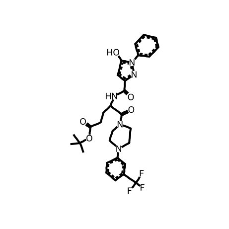 CC(C)(C)OC(=O)CCC(NC(=O)c1cc(O)n(-c2ccccc2)n1)C(=O)N1CCN(c2cccc(C(F)(F)F)c2)CC1